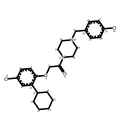 O=C(COc1ccc(Cl)cc1C1CCCCC1)N1CCN(Cc2ccc(Cl)cc2)CC1